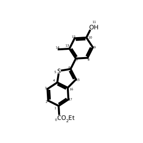 CCOC(=O)c1ccc2sc(-c3ccc(O)cc3C)cc2c1